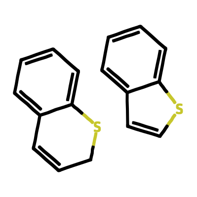 C1=Cc2ccccc2SC1.c1ccc2sccc2c1